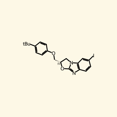 CC(C)(C)c1ccc(OC[C@@H]2Cn3c(nc4ccc(I)cc43)O2)cc1